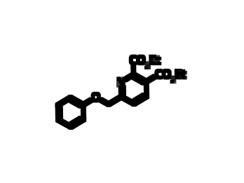 CCOC(=O)c1ccc(COc2ccccc2)nc1C(=O)OCC